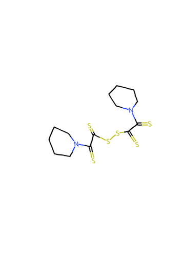 S=C(SSC(=S)C(=S)N1CCCCC1)C(=S)N1CCCCC1